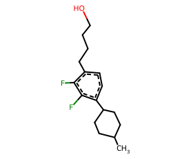 CC1CCC(c2ccc(CCCCO)c(F)c2F)CC1